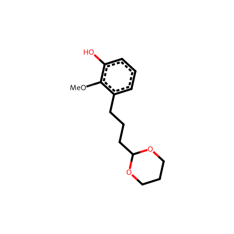 COc1c(O)cccc1CCCC1OCCCO1